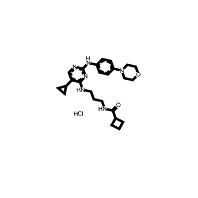 Cl.O=C(NCCCNc1nc(Nc2ccc(N3CCOCC3)cc2)ncc1C1CC1)C1CCC1